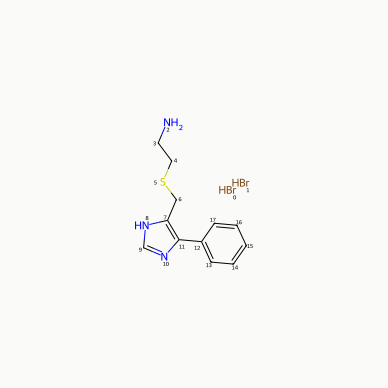 Br.Br.NCCSCc1[nH]cnc1-c1ccccc1